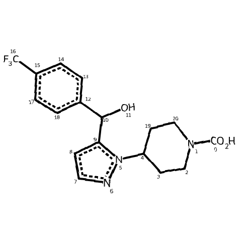 O=C(O)N1CCC(n2nccc2C(O)c2ccc(C(F)(F)F)cc2)CC1